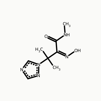 CNC(=O)C(=NO)C(C)(C)n1cncn1